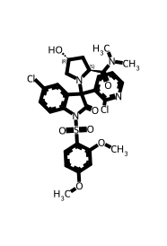 COc1ccc(S(=O)(=O)N2C(=O)C(c3cccnc3Cl)(N3C[C@H](O)C[C@H]3C(=O)N(C)C)c3cc(Cl)ccc32)c(OC)c1